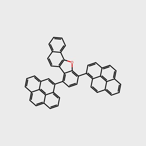 c1ccc2c(c1)ccc1c2oc2c(-c3ccc4ccc5cccc6ccc3c4c56)ccc(-c3cc4cccc5ccc6cccc3c6c54)c21